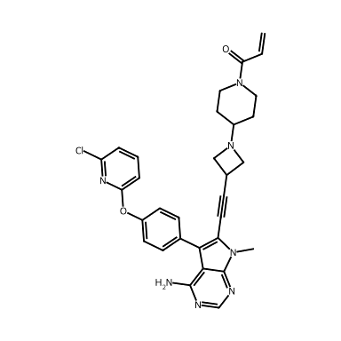 C=CC(=O)N1CCC(N2CC(C#Cc3c(-c4ccc(Oc5cccc(Cl)n5)cc4)c4c(N)ncnc4n3C)C2)CC1